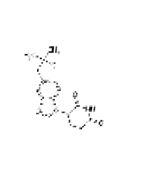 CC(C)(C)Cc1ccc2c(C3CCC(=O)NC3=O)coc2c1